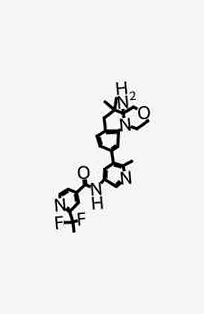 Cc1ncc(NC(=O)c2ccnc(C(C)(F)F)c2)cc1-c1ccc2c(c1)N1CCOCC1(N)C(C)(C)C2